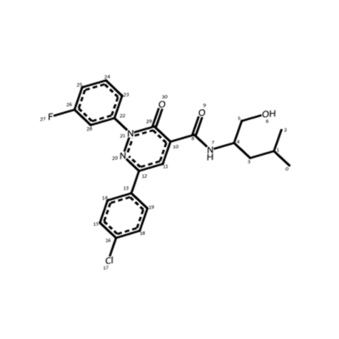 CC(C)CC(CO)NC(=O)c1cc(-c2ccc(Cl)cc2)nn(-c2cccc(F)c2)c1=O